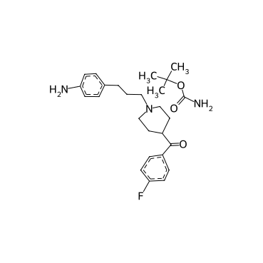 CC(C)(C)OC(N)=O.Nc1ccc(CCCN2CCC(C(=O)c3ccc(F)cc3)CC2)cc1